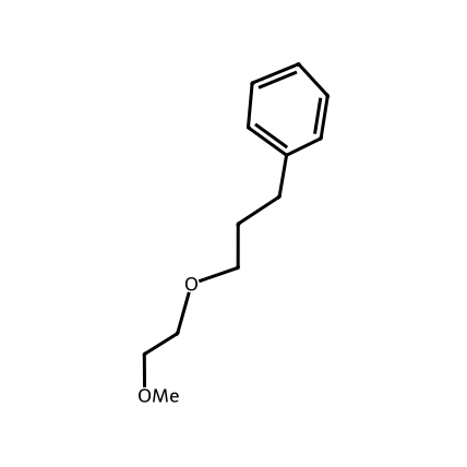 COCCOCCCc1ccccc1